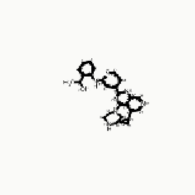 CC(O)c1ccccc1Nc1cc(-c2nc(N3CCNCC3)c3c(C4CC4)cncc3n2)ccn1